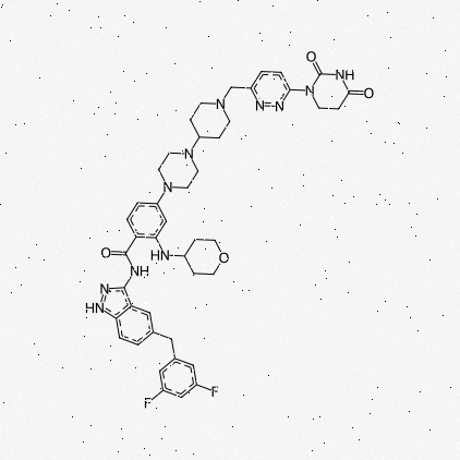 O=C1CCN(c2ccc(CN3CCC(N4CCN(c5ccc(C(=O)Nc6n[nH]c7ccc(Cc8cc(F)cc(F)c8)cc67)c(NC6CCOCC6)c5)CC4)CC3)nn2)C(=O)N1